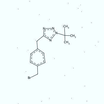 CC(C)(C)n1nnc(Cc2ccc(CBr)cc2)n1